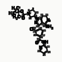 CC(C)(C)OC(=O)N1CCC[C@@H](n2nc(-c3ccc(C(=O)Nc4ccccn4)cc3Cl)c3c(N)nccc32)C1